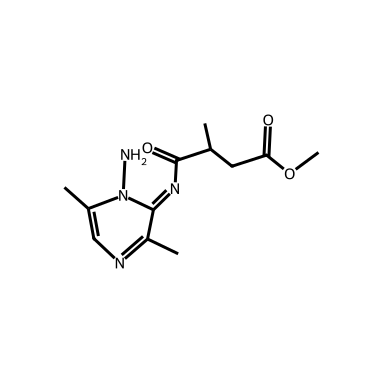 COC(=O)CC(C)C(=O)N=c1c(C)ncc(C)n1N